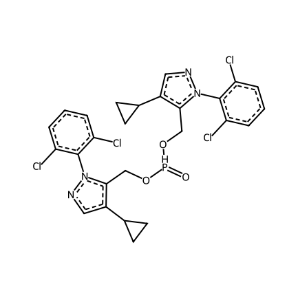 O=[PH](OCc1c(C2CC2)cnn1-c1c(Cl)cccc1Cl)OCc1c(C2CC2)cnn1-c1c(Cl)cccc1Cl